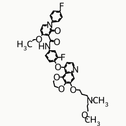 CCOc1ccn(-c2ccc(F)cc2)c(=O)c1C(=O)Nc1ccc(Oc2ccnc3cc(OCCCN(C)CCOC)c4c(c23)OCCO4)c(F)c1